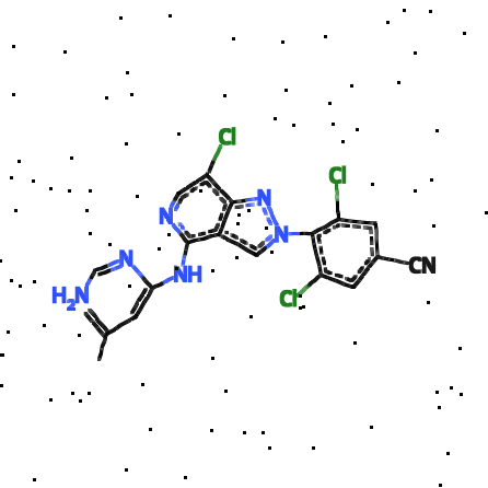 C=C(C)/C=C(\N=C/N)Nc1ncc(Cl)c2nn(-c3c(Cl)cc(C#N)cc3Cl)cc12